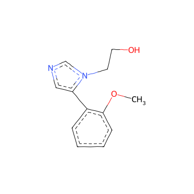 COc1ccccc1-c1cncn1CCO